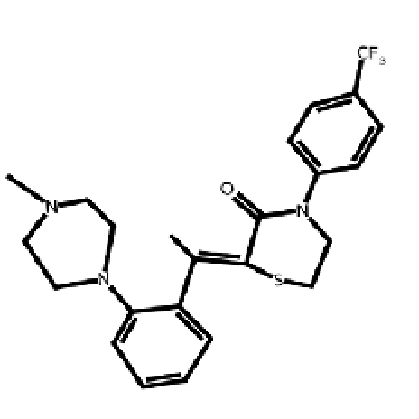 C/C(=C1/SCCN(c2ccc(C(F)(F)F)cc2)C1=O)c1ccccc1N1CCN(C)CC1